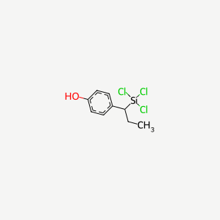 CCC(c1ccc(O)cc1)[Si](Cl)(Cl)Cl